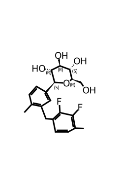 Cc1ccc([C@@H]2O[C@H](CO)[C@@H](O)[C@H](O)[C@H]2O)cc1Cc1ccc(C)c(F)c1F